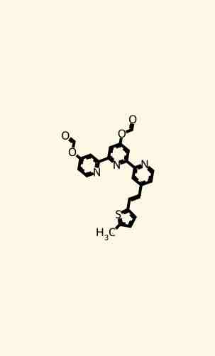 Cc1ccc(/C=C/c2ccnc(-c3cc(OC=O)cc(-c4cc(OC=O)ccn4)n3)c2)s1